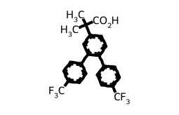 CC(C)(C(=O)O)c1ccc(-c2ccc(C(F)(F)F)cc2)c(-c2ccc(C(F)(F)F)cc2)c1